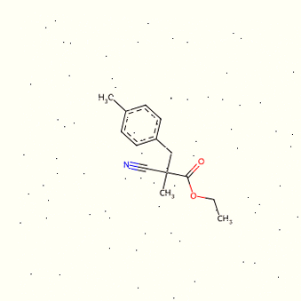 CCOC(=O)C(C)(C#N)Cc1ccc(C)cc1